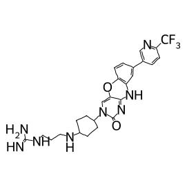 N=C(N)NCCCNC1CCC(n2cc3c(nc2=O)Nc2cc(-c4ccc(C(F)(F)F)nc4)ccc2O3)CC1